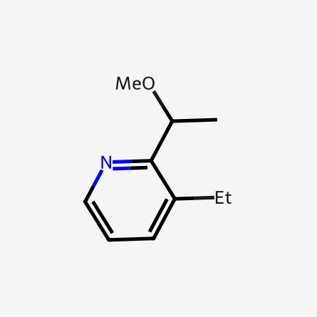 CCc1cccnc1C(C)OC